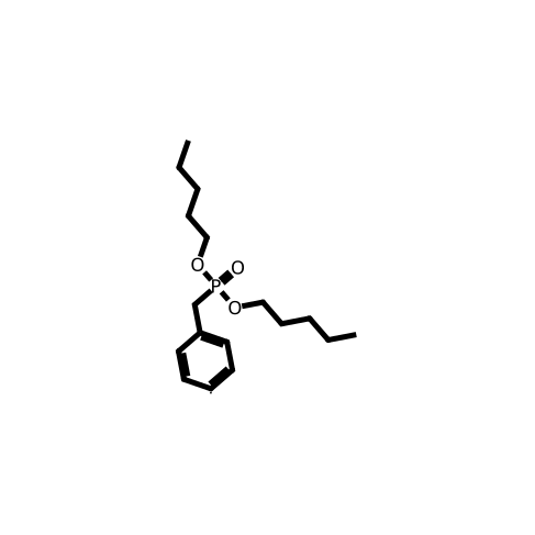 CCCCCOP(=O)(Cc1cc[c]cc1)OCCCCC